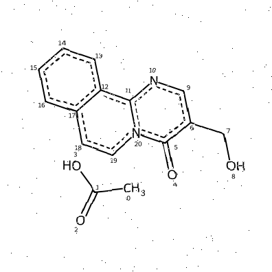 CC(=O)O.O=c1c(CO)cnc2c3ccccc3ccn12